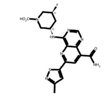 Cc1cc(-c2cc(C(N)=O)c3ncnc(N[C@H]4C[C@H](F)CN(C(=O)O)C4)c3n2)sn1